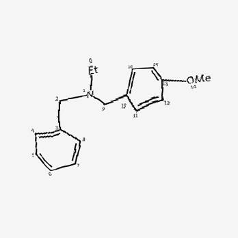 CCN(Cc1ccccc1)Cc1ccc(OC)cc1